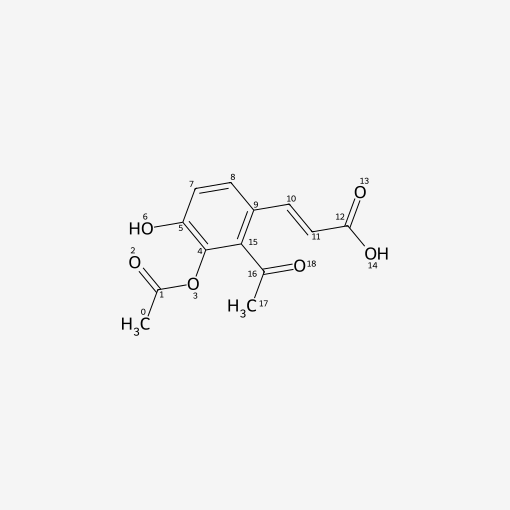 CC(=O)Oc1c(O)ccc(C=CC(=O)O)c1C(C)=O